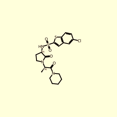 C[C@H](C(=O)N1CCCCC1)N1CC[C@@H](NS(=O)(=O)c2cc3cc(Cl)ccc3s2)C1=O